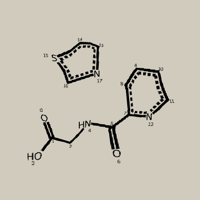 O=C(O)CNC(=O)c1ccccn1.c1cscn1